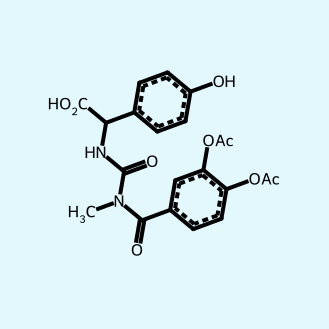 CC(=O)Oc1ccc(C(=O)N(C)C(=O)NC(C(=O)O)c2ccc(O)cc2)cc1OC(C)=O